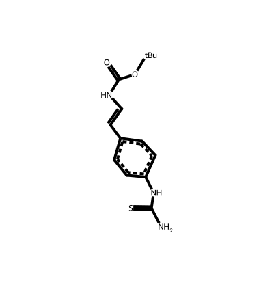 CC(C)(C)OC(=O)NC=Cc1ccc(NC(N)=S)cc1